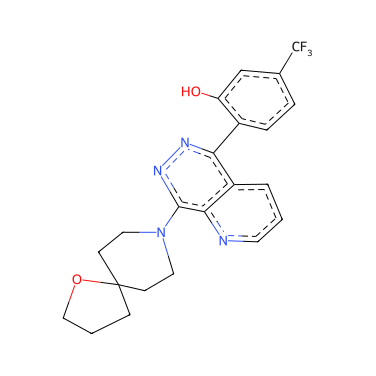 Oc1cc(C(F)(F)F)ccc1-c1nnc(N2CCC3(CCCO3)CC2)c2ncccc12